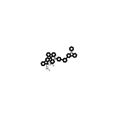 CC1(C)c2ccccc2-c2ccc(C3(c4ccccc4)c4ccccc4N(c4ccc(-c5cccc(-c6ccc7c(c6)c6ccccc6n7-c6ccccc6)c5)cc4)c4ccccc43)cc21